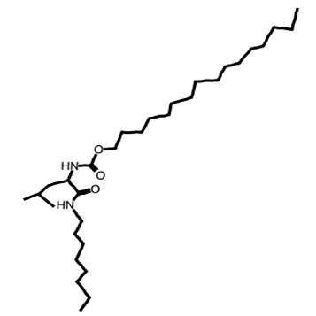 CCCCCCCCCCCCCCCCOC(=O)NC(CC(C)C)C(=O)NCCCCCCCC